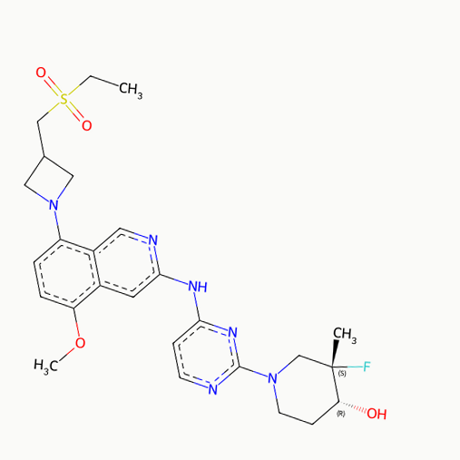 CCS(=O)(=O)CC1CN(c2ccc(OC)c3cc(Nc4ccnc(N5CC[C@@H](O)[C@@](C)(F)C5)n4)ncc23)C1